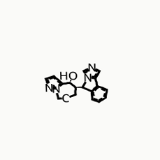 O[C@H]1c2ccnn2CCC[C@@H]1C1c2ccccc2-c2cncn21